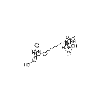 Cc1nn2c(N3CCN(CCO)CC3)cc(-c3cccc(CCCCCCCCCCCNC(=O)[C@H](CC(C)C)NC(=O)[C@@H](O)[C@H](N)Cc4ccccc4)c3)nc2c1-c1ccccc1